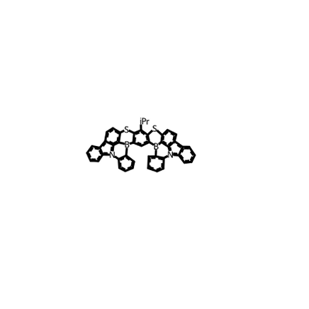 CC(C)c1c2c(cc3c1Sc1ccc4c5ccccc5n5c4c1B3c1ccccc1-5)B1c3ccccc3-n3c4ccccc4c4ccc(c1c43)S2